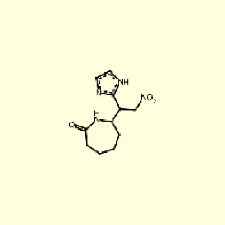 O=C1CCCCC(C(C[N+](=O)[O-])c2ncc[nH]2)N1